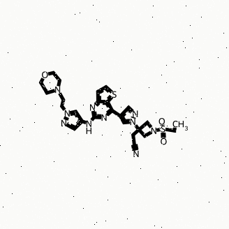 CCS(=O)(=O)N1CC(CC#N)(n2cc(-c3nc(Nc4cnn(CCN5CCOCC5)c4)nc4ccsc34)cn2)C1